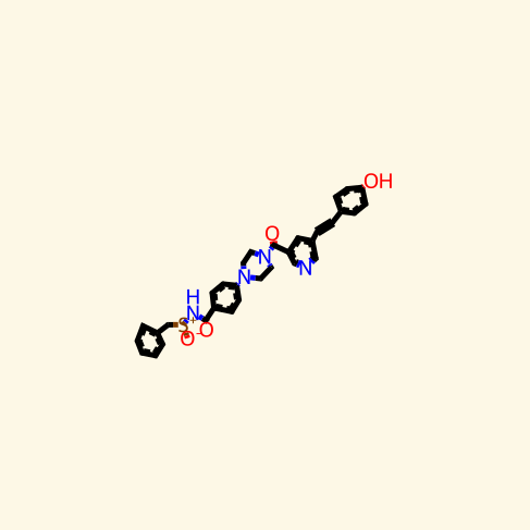 O=C(N[S+]([O-])Cc1ccccc1)c1ccc(N2CCN(C(=O)c3cncc(C#Cc4ccc(O)cc4)c3)CC2)cc1